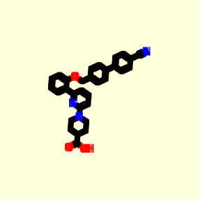 N#Cc1ccc(-c2ccc(COc3ccccc3-c3cccc(N4CCC(C(=O)O)CC4)n3)cc2)cc1